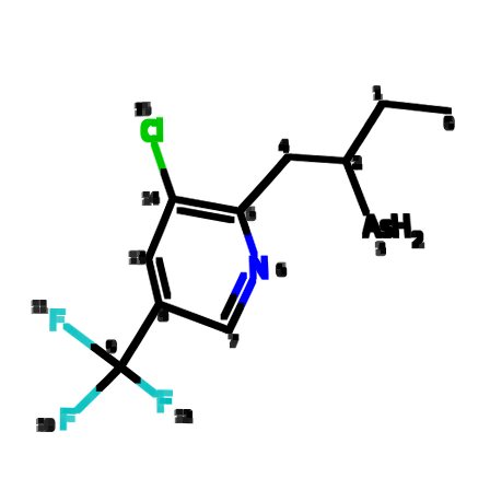 CCC([AsH2])Cc1ncc(C(F)(F)F)cc1Cl